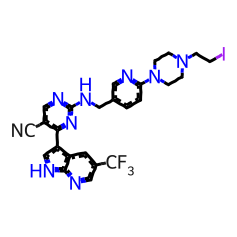 N#Cc1cnc(NCc2ccc(N3CCN(CCI)CC3)nc2)nc1-c1c[nH]c2ncc(C(F)(F)F)cc12